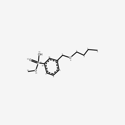 CCCCOCc1cccc(P(=O)(O)OC)c1